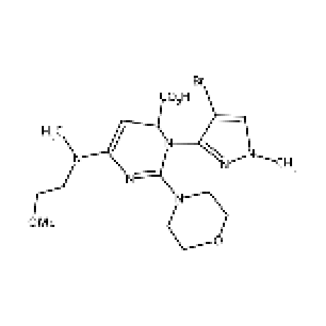 COCCN(C)C1=CC(C(=O)O)N(c2nn(C)cc2Br)C(N2CCOCC2)=N1